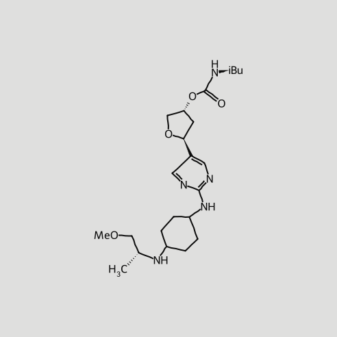 CC[C@H](C)NC(=O)O[C@H]1CO[C@H](c2cnc(NC3CCC(N[C@H](C)COC)CC3)nc2)C1